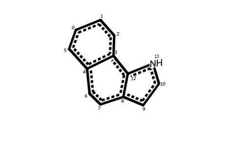 c1ccc2c(c1)ccc1cc[nH]c12